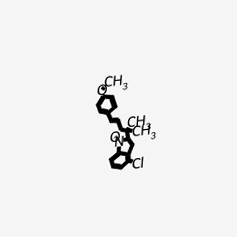 COc1ccc(C=CC2ON3c4cccc(Cl)c4CC3C2(C)C)cc1